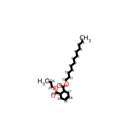 CCCCCCCCCCCCCOC(=O)C1CC=CCC1C(=O)OCCC